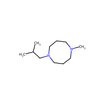 CC(C)CN1CCCN(C)CCC1